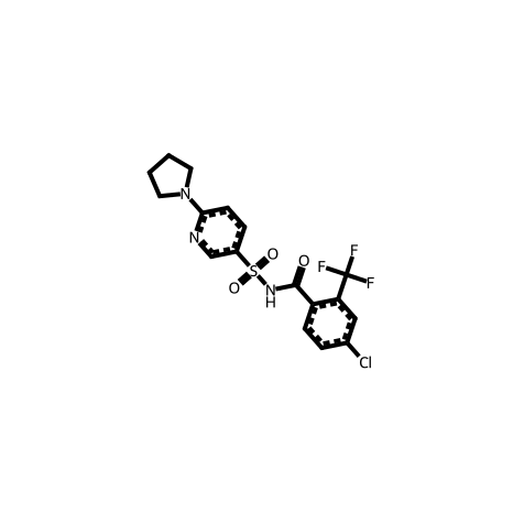 O=C(NS(=O)(=O)c1ccc(N2CCCC2)nc1)c1ccc(Cl)cc1C(F)(F)F